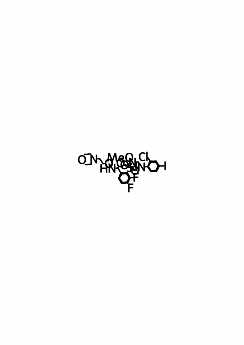 CON(CNc1ccc(I)cc1Cl)S(=O)(=O)c1c(C(=O)NOCCN2CCOCC2)ccc(F)c1F